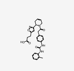 Cc1ccccc1NC(=O)Nc1ccc(CC(=O)N2CC=CCC2c2cc(CCC(=O)O)on2)cc1